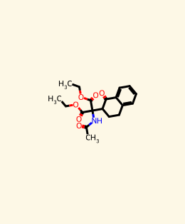 CCOC(=O)C(NC(C)=O)(C(=O)OCC)C1CCc2ccccc2C1=O